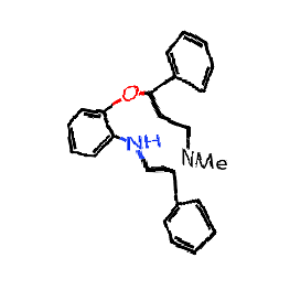 CNCCC(Oc1ccccc1NCCc1ccccc1)c1ccccc1